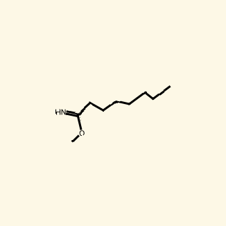 CCCCCCCC(=N)OC